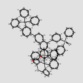 O=P(c1ccccc1)(c1ccc(-c2cccc3c2-c2ccccc2C32c3ccccc3Oc3ccccc32)cc1)c1cccc(-c2cc(P(=O)(c3ccccc3)c3ccccc3)cc3cc(-c4ccc5c(c4)C(c4ccccc4)(c4ccccc4)c4ccccc4-5)ccc23)c1